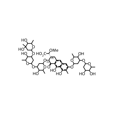 COC(C(=O)O)[C@@H]1Cc2cc3cc(OC4CC(OC5CC(O)C(O)C(C)O5)C(O)C(C)O4)c(C)c(O)c3c(O)c2C(=O)[C@H]1OC1CC(OC2CC(OC3CC(C)(O)C(O)C(C)O3)C(O)C(C)O2)C(O)C(C)O1